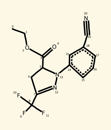 CCOC(=O)C1CC(C(F)(F)F)=NN1c1cccc(C#N)c1